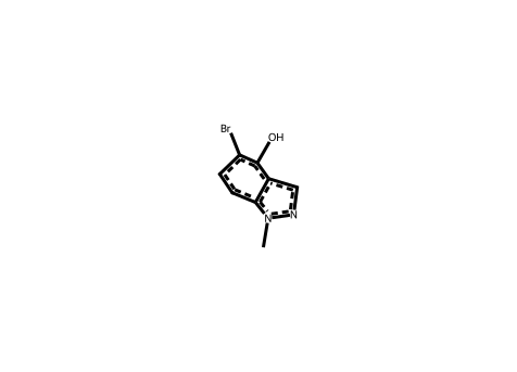 Cn1ncc2c(O)c(Br)ccc21